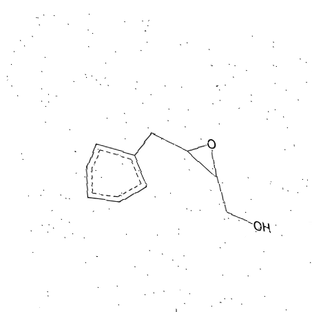 OCC1OC1Cc1ccccc1